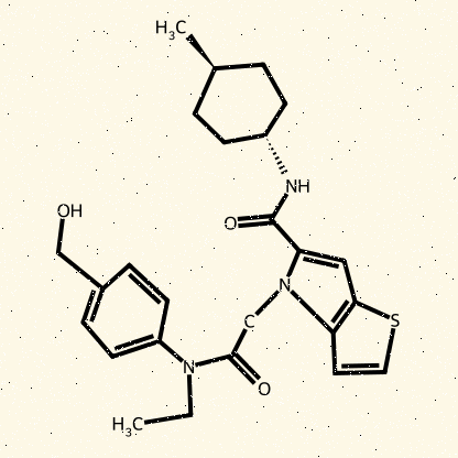 CCN(C(=O)Cn1c(C(=O)N[C@H]2CC[C@H](C)CC2)cc2sccc21)c1ccc(CO)cc1